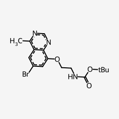 Cc1ncnc2c(OCCNC(=O)OC(C)(C)C)cc(Br)cc12